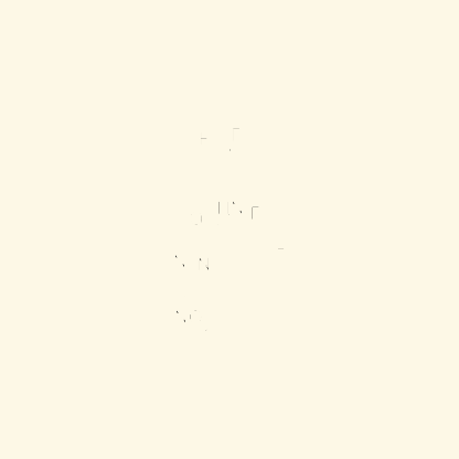 O=C(NC1CC(F)(F)C1)C(CC(F)F)n1cc([N+](=O)[O-])cn1